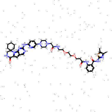 Cc1nc(NC(=O)c2ccccc2NC(=O)CCOCCOCCNC(=O)CN2CCN(c3ccc(Nc4ncc5cc6n(c5n4)C4(CCCCC4)CNC6=O)nc3)CC2)sc1C